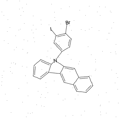 Brc1ccc(-n2c3ccccc3c3cc4ccccc4cc32)cc1I